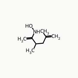 C=C(C)CC(C)C(=C)NO